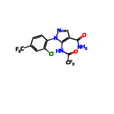 NC(=O)c1cnn(-c2ccc(C(F)(F)F)cc2Cl)c1NC(=O)C(F)(F)F